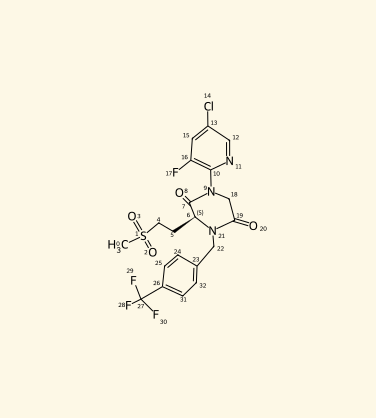 CS(=O)(=O)CC[C@H]1C(=O)N(c2ncc(Cl)cc2F)CC(=O)N1Cc1ccc(C(F)(F)F)cc1